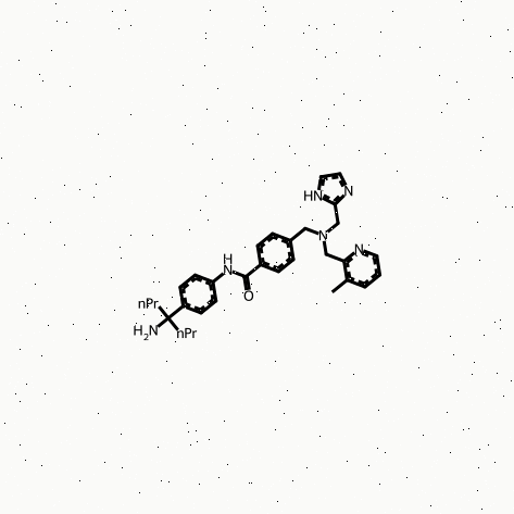 CCCC(N)(CCC)c1ccc(NC(=O)c2ccc(CN(Cc3ncc[nH]3)Cc3ncccc3C)cc2)cc1